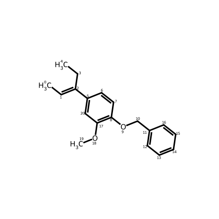 CC=C(CC)c1ccc(OCc2ccccc2)c(OC)c1